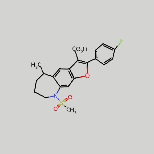 CC1CCCN(S(C)(=O)=O)c2cc3oc(-c4ccc(F)cc4)c(C(=O)O)c3cc21